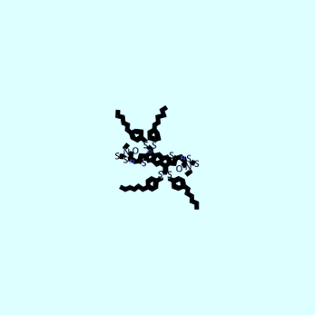 CCCCCCc1ccc(CSC(SCc2ccc(CCCCCC)cc2)=C2c3cc4c(cc3-c3sc(/C=C5/SC(=S)N(CC)C5=O)cc32)/C(=C(/SCc2ccc(CCCCCC)cc2)Sc2ccc(CCCCCC)cc2)c2cc(/C=C3/SC(=S)N(CC)C3=O)sc2-4)cc1